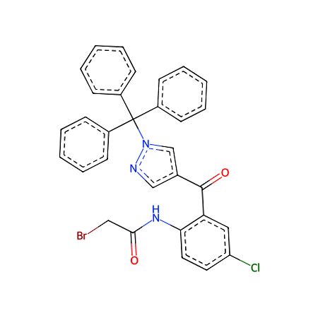 O=C(CBr)Nc1ccc(Cl)cc1C(=O)c1cnn(C(c2ccccc2)(c2ccccc2)c2ccccc2)c1